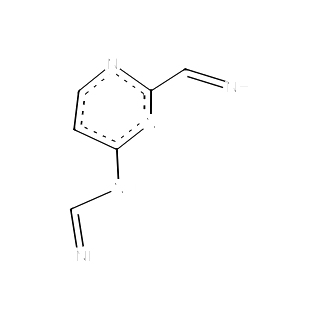 N=CNc1ccnc(C=N)n1